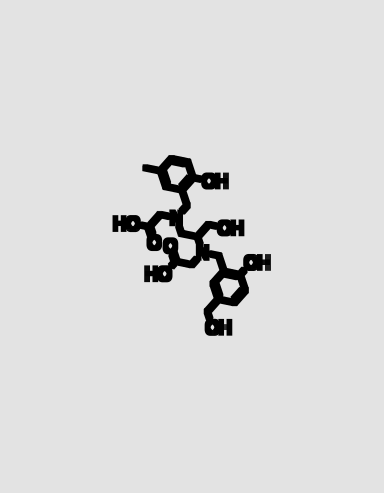 Cc1ccc(O)c(CN(CC(=O)O)CC(CO)N(CC(=O)O)Cc2cc(CO)ccc2O)c1